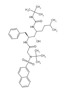 CC(C)CCC(NC(=O)NC(C)(C)C)[C@H](O)[C@H](Cc1ccccc1)NC(=O)CN(C(C)(C)C)S(=O)(=O)c1ccc2ccccc2c1